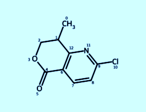 CC1COC(=O)c2ccc(Cl)nc21